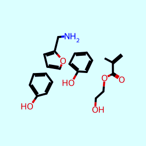 C=C(C)C(=O)OCCO.NCc1ccco1.Oc1ccccc1.Oc1ccccc1